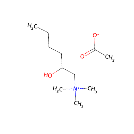 CC(=O)[O-].CCCCC(O)C[N+](C)(C)C